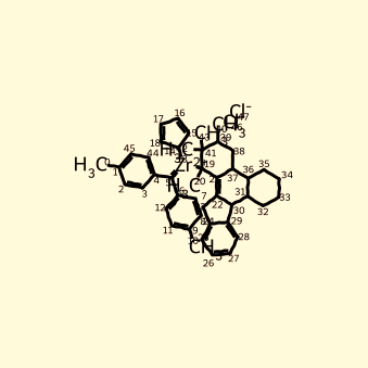 Cc1ccc([C](c2ccc(C)cc2)=[Zr+2]([CH]2C=CC=C2)[C]2(C)C3=C4Cc5ccccc5C4C4CCCCC4C3CC(C)C2(C)C)cc1.[Cl-].[Cl-]